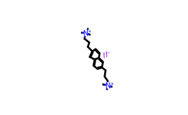 C[N+](C)(C)CCCc1ccc2cc(CCC[N+](C)(C)C)ccc2c1.[I-].[I-]